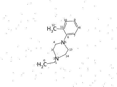 [CH2]CN1CCN(c2ccccc2C)CC1